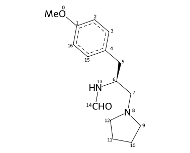 COc1ccc(C[C@@H](CN2CCCC2)NC=O)cc1